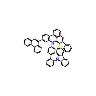 c1ccc(-c2ccc(-c3cc4ccccc4c4ccccc34)cc2N(c2ccc(-c3ccccc3-n3c4ccccc4c4ccccc43)cc2)c2cccc3c2sc2ccccc23)cc1